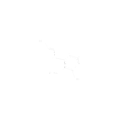 CC=COc1cccc(O)c1OCCCC